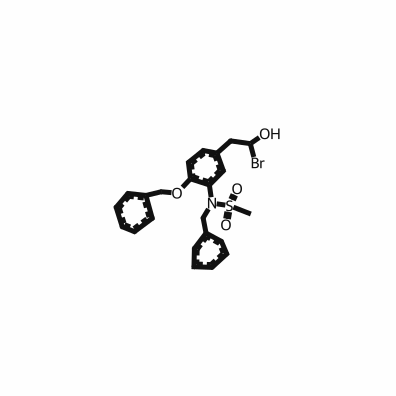 CS(=O)(=O)N(Cc1ccccc1)c1cc(CC(O)Br)ccc1OCc1ccccc1